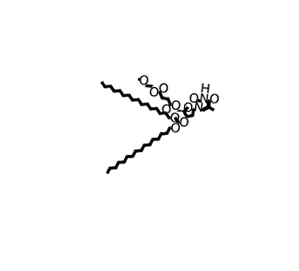 CCCCCCCCCCCCCCCCOC(OCCCCCCCCCCCCCCCC)OC1C[C@H](n2cc(C)c(=O)[nH]c2=O)O[C@@H]1COC(=O)CCC(=O)OCCOC